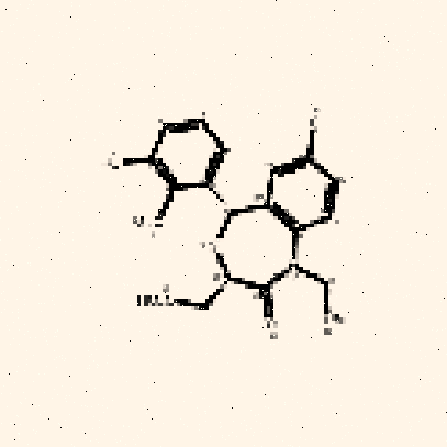 COc1c(O)cccc1[C@H]1S[C@H](CC(=O)O)C(=O)N(CC(C)(C)C)c2ccc(Cl)cc21